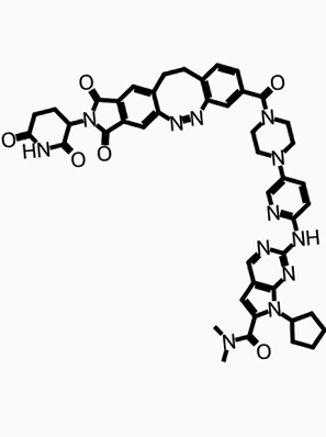 CN(C)C(=O)c1cc2cnc(Nc3ccc(N4CCN(C(=O)c5ccc6c(c5)/N=N\c5cc7c(cc5CC6)C(=O)N(C5CCC(=O)NC5=O)C7=O)CC4)cn3)nc2n1C1CCCC1